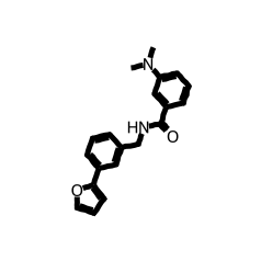 CN(C)c1cccc(C(=O)NCc2cccc(-c3ccco3)c2)c1